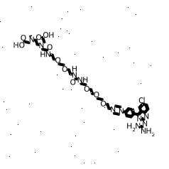 CN(CCN(CC(=O)O)CC(=O)NCCOCCOCCNC(=O)NCCOCCOCCOCCN1CCN(c2ccc(-c3nc(N=C(N)N)nc4ccc(Cl)cc34)cc2)CC1)CC(=O)O